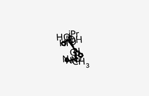 CC(C)C[C@H](O)[C@H](O)[C@@H](CC1CCCCC1)NC(=O)C#CCCN(Cc1ccccc1)C(=O)CCC(=O)N(C)CCn1ccnc1